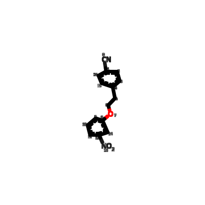 N#Cc1ccc(CCOc2cccc([N+](=O)[O-])c2)cc1